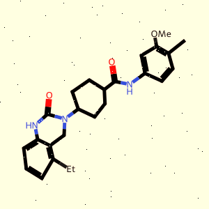 CCc1cccc2c1CN(C1CCC(C(=O)Nc3ccc(C)c(OC)c3)CC1)C(=O)N2